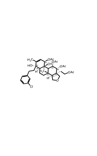 CC(=O)OCC[C@]12COC[C@H]1[C@]1(C)CC[C@@H]3[C@@](C)(C1[C@H](OC(C)=O)[C@@H]2OC(C)=O)[C@H](OC(C)=O)C=C(C)[C@]3(O)CCc1cccc(Cl)c1